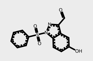 O=Cc1nn(S(=O)(=O)c2ccccc2)c2ccc(O)cc12